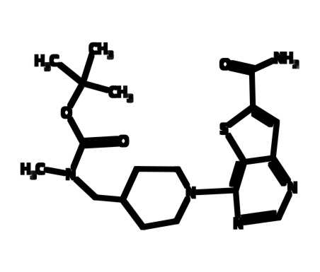 CN(CC1CCN(c2ncnc3cc(C(N)=O)sc23)CC1)C(=O)OC(C)(C)C